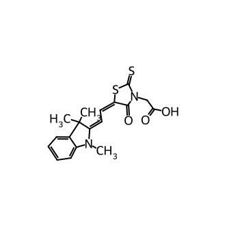 CN1/C(=C/C=C2/SC(=S)N(CC(=O)O)C2=O)C(C)(C)c2ccccc21